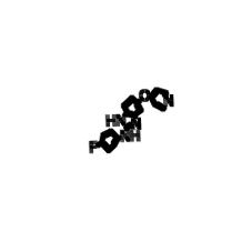 Fc1ccc(Nc2nc3cc(Oc4ccncc4)ccc3[nH]2)cc1